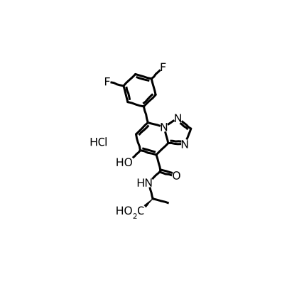 C[C@H](NC(=O)c1c(O)cc(-c2cc(F)cc(F)c2)n2ncnc12)C(=O)O.Cl